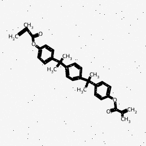 C=C(C)C(=O)Oc1ccc(C(C)(C)c2ccc(C(C)(C)c3ccc(OC(=O)C(=C)C)cc3)cc2)cc1